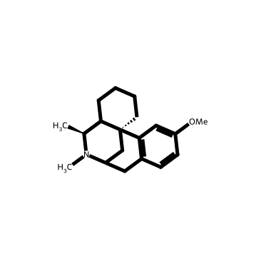 COc1ccc2c(c1)[C@]13CCCCC1[C@H](C)N(C)C(C2)C3